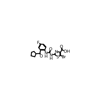 O=C(Nc1nc(C(=O)O)c(Br)s1)Nc1ccc(F)cc1C(=O)C1CCCC1